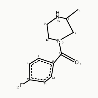 CC1CN(C(=O)c2ccc(F)cc2)CCN1